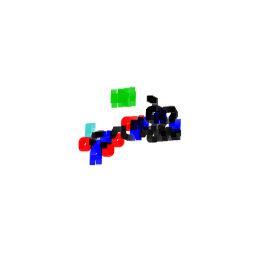 C=CC1CN2CCC1CC2C(OC)(c1cn(CC2OC(n3cc(F)c(=O)[nH]c3=O)CC2O)nn1)c1ccnc2ccccc12.Cl.Cl